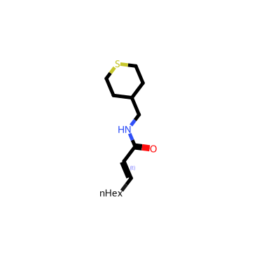 CCCCCC/C=C/C(=O)NCC1CCSCC1